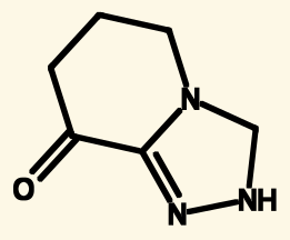 O=C1CCCN2CNN=C12